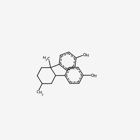 CC1CCC(C)(c2ccc(O)cc2)C(c2ccc(O)cc2)C1